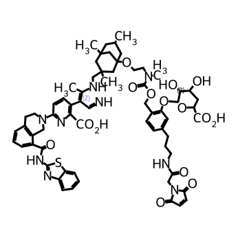 C/C(NCC1(C)CC2(C)CC(C)CC(OCCN(C)C(=O)OCc3ccc(CCCNC(=O)CN4C(=O)C=CC4=O)cc3OC3OC(C(=O)O)CC(O)[C@H]3O)(C1)C2)=C(/C=N)c1ccc(N2CCc3cccc(C(=O)Nc4nc5ccccc5s4)c3C2)nc1C(=O)O